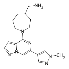 Cn1cc(-c2cn3nccc3c(N3CCCC(CN)CC3)n2)cn1